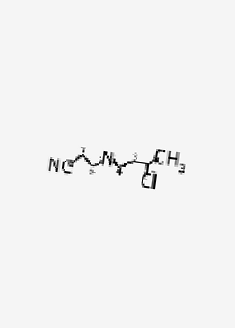 CC(Cl)CC[N]CCC#N